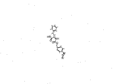 [N-]=[N+]=Nc1ccc(COC(=O)NC(CCc2ccccc2)C(=O)O)cc1